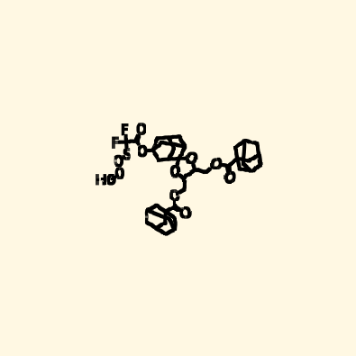 O=C(OCC1OC2(OC1COC(=O)C13CC4CC(CC(C4)C1)C3)C1CC3CC2CC(OC(=O)C(F)(F)SOOO)(C3)C1)C12CC3CC(CC(C3)C1)C2